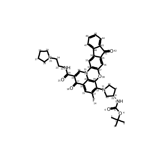 CC(C)(C)OC(=O)N[C@H]1CCN(c2c(F)cc3c(=O)c(C(=O)NCCN4CCCC4)cn4c5cc6c(cc5oc2c34)c(=O)c2ccccc26)C1